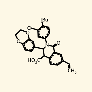 C=Cc1ccc2c(c1)C(=O)N(c1ccc(C(C)(C)C)c(Cl)c1)C(c1ccc3c(c1)OCCO3)C2C(=O)O